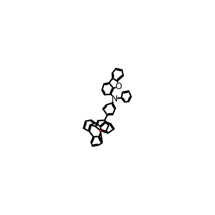 c1ccc(N(c2ccc(-c3ccc4c(c3)-c3c5cccc3-c3cccc-4c3-c3ccccc3-5)cc2)c2cccc3c2oc2ccccc23)cc1